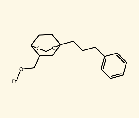 CCOCC1CC2(CCCc3ccccc3)CCCC1CC2